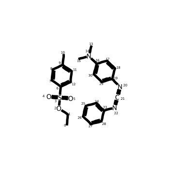 CCOS(=O)(=O)c1ccc(C)cc1.CN(C)c1ccc(N=C=Nc2ccccc2)cc1